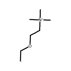 [CH2]COCC[N+](C)(C)C